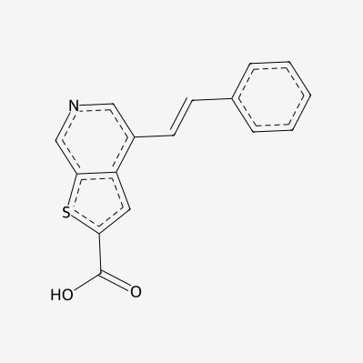 O=C(O)c1cc2c(C=Cc3ccccc3)cncc2s1